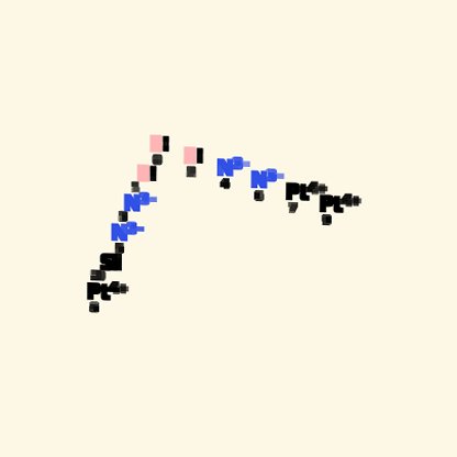 [B].[B].[B].[N-3].[N-3].[N-3].[N-3].[Pt+4].[Pt+4].[Pt+4].[Si]